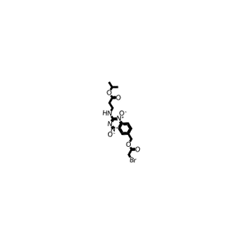 CC(C)OC(=O)CCNc1n[n+]([O-])c2cc(COC(=O)CBr)ccc2[n+]1[O-]